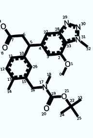 COc1cc(C(CC(=O)O)c2ccc(C)c(CN(C)C(=O)OC(C)(C)C)c2)cc2nnn(C)c12